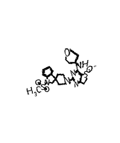 CS(=O)(=O)N1CC2(CCN(c3nc4c(c(NC5CCOCC5)n3)[S+]([O-])CC4)CC2)c2ccccc21